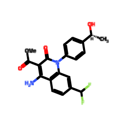 COC(=O)c1c(N)c2ccc(C(F)F)cc2n(-c2ccc([C@@H](C)O)cc2)c1=O